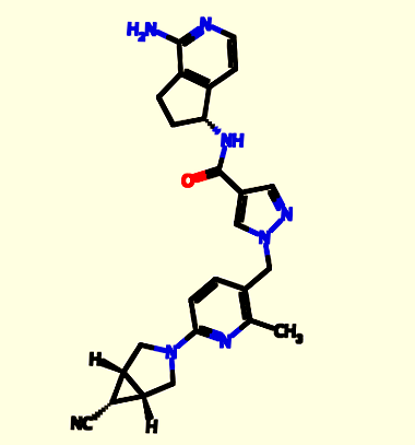 Cc1nc(N2C[C@@H]3[C@H](C#N)[C@@H]3C2)ccc1Cn1cc(C(=O)N[C@@H]2CCc3c2ccnc3N)cn1